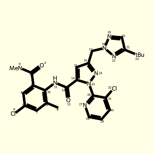 CNC(=O)c1cc(Cl)cc(C)c1NC(=O)c1cc(Cn2ncc(C(C)(C)C)n2)nn1-c1ncccc1Cl